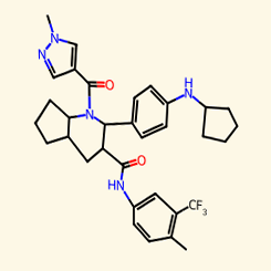 Cc1ccc(NC(=O)C2CC3CCCC3N(C(=O)c3cnn(C)c3)C2c2ccc(NC3CCCC3)cc2)cc1C(F)(F)F